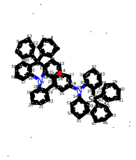 c1ccc(C2(c3ccccc3)c3ccccc3N(c3ccccc3-c3cccc(N4c5ccccc5[Si](c5ccccc5)(c5ccccc5)c5ccccc54)c3)c3ccccc32)cc1